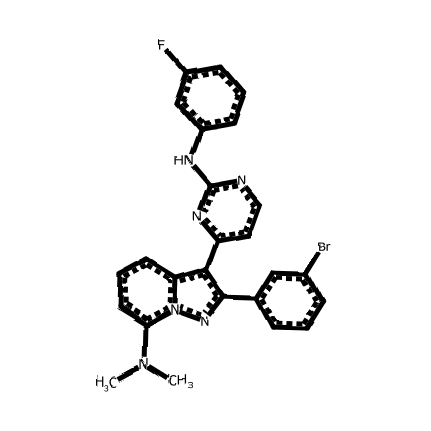 CN(C)c1cccc2c(-c3ccnc(Nc4cccc(F)c4)n3)c(-c3cccc(Br)c3)nn12